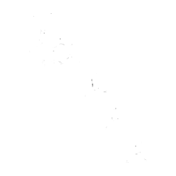 CCN(CC)C(=O)c1ccc(OC/C=C(\C)CC/C=C(\C)CCC=C(C)C)cc1O